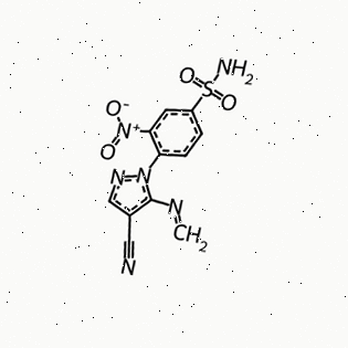 C=Nc1c(C#N)cnn1-c1ccc(S(N)(=O)=O)cc1[N+](=O)[O-]